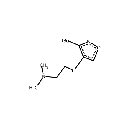 CN(C)CCOc1conc1C(C)(C)C